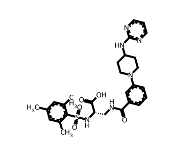 Cc1cc(C)c(S(=O)(=O)N[C@@H](CNC(=O)c2cccc(N3CCC(Nc4ncccn4)CC3)c2)C(=O)O)c(C)c1